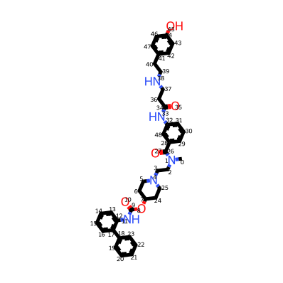 CN(CCN1CCC(OC(=O)Nc2ccccc2-c2ccccc2)CC1)C(=O)c1cccc(NC(=O)CCNCCc2ccc(O)cc2)c1